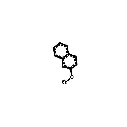 CCOc1ccc2cc[c]cc2n1